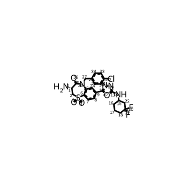 N[C@H]1CS(=O)(=O)c2ccc(-c3nnc(NC4CCCC(F)(F)C4)o3)cc2N(Cc2ccc(Cl)cc2)C1=O